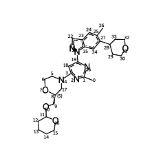 Cc1nc(N2CCO[C@H](COC3CCCCO3)C2)cc(-n2ncc3cc(C)c(C4CCOCC4)cc32)n1